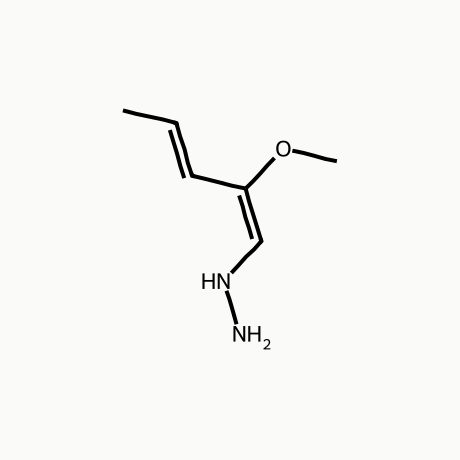 C/C=C/C(=C\NN)OC